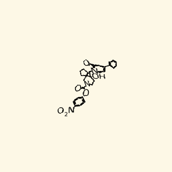 O=C(Oc1ccc([N+](=O)[O-])cc1)N1CCC(O)(Cn2ccc(-c3ccccc3)cc2=O)C2(CCCC2)C1